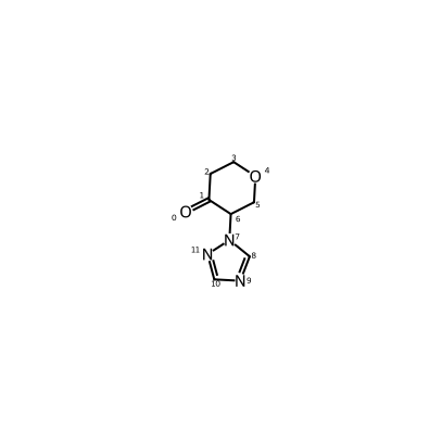 O=C1CCOCC1n1cncn1